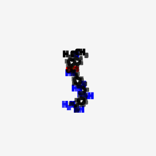 CN(C)c1cccc2c(S(=O)(=O)NCc3ccc4[nH]c(Cc5nc6cc(C(=N)N)ccc6[nH]5)nc4c3)cccc12